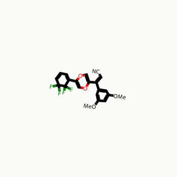 COc1cc(OC)cc(C(=CC#N)C2=COC(C3=CC=CC(F)(F)C3(F)F)=CO2)c1